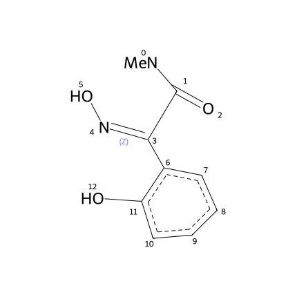 CNC(=O)/C(=N\O)c1ccccc1O